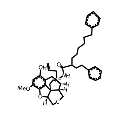 C=CC[N+]1(NC(=O)C(CCCCCCc2ccccc2)CCc2ccccc2)CC[C@]23c4c5c(O)cc(OC)c4O[C@H]2CCC[C@H]3[C@H]1C5